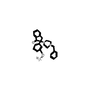 COc1cccc(C2(N3CCN(Cc4ccccc4)CC3)Cc3ccccc3C2=O)c1